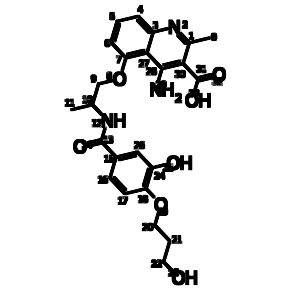 Cc1nc2cccc(OCC(C)NC(=O)c3ccc(OCCCO)c(O)c3)c2c(N)c1C(=O)O